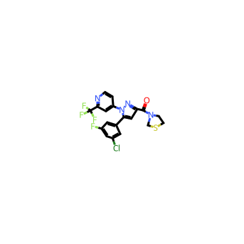 O=C(c1cc(-c2cc(F)cc(Cl)c2)n(-c2ccnc(C(F)(F)F)c2)n1)N1CCSC1